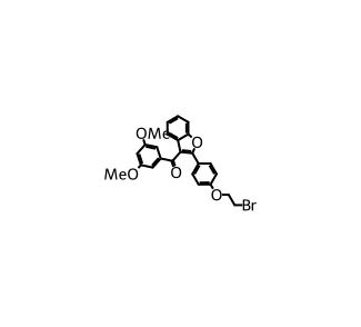 COc1cc(OC)cc(C(=O)c2c(-c3ccc(OCCBr)cc3)oc3ccccc23)c1